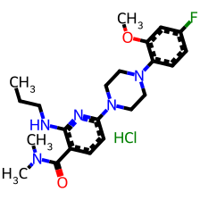 CCCNc1nc(N2CCN(c3ccc(F)cc3OC)CC2)ccc1C(=O)N(C)C.Cl